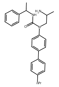 CCCc1ccc(-c2ccc(N(CC(C)N)C(=O)NC(C)c3ccccc3)cc2)cc1